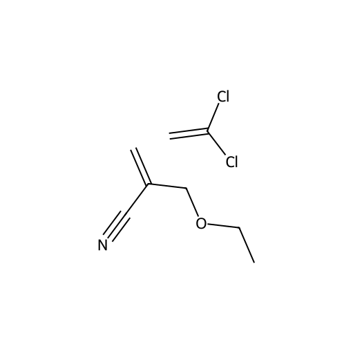 C=C(C#N)COCC.C=C(Cl)Cl